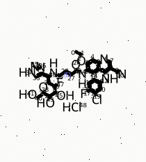 CCOc1cc2ncc(C#N)c(Nc3ccc(F)c(Cl)c3)c2cc1NC(=O)/C=C/CNC(c1c[nH]nn1)C1OC(CO)C(O)C(O)C1F.Cl